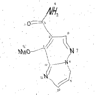 COc1c(C(N)=O)cnn2ccnc12